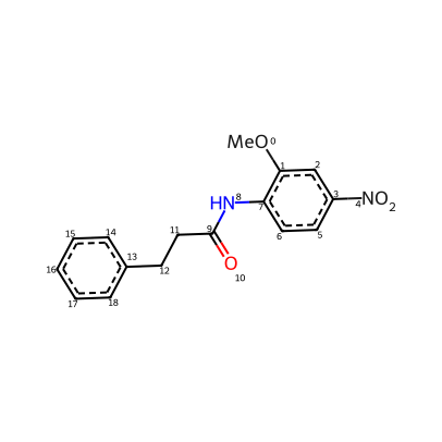 COc1cc([N+](=O)[O-])ccc1NC(=O)CCc1ccccc1